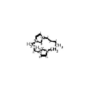 CCCCN1C=CN(C)C1.CCN1C=CN(C)C1